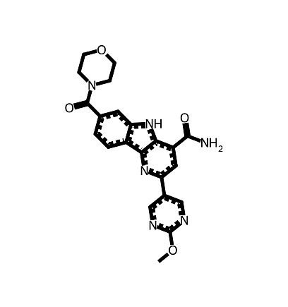 COc1ncc(-c2cc(C(N)=O)c3[nH]c4cc(C(=O)N5CCOCC5)ccc4c3n2)cn1